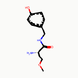 COC[C@H](N)C(=O)NCc1ccc(O)cc1